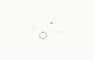 CCCCCC(CC(=O)OC)c1ccc(OCC)cc1OC